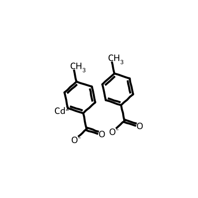 Cc1ccc(C(=O)[O-])cc1.Cc1ccc(C(=O)[O-])cc1.[Cd+2]